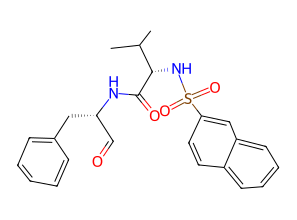 CC(C)[C@H](NS(=O)(=O)c1ccc2ccccc2c1)C(=O)N[C@H](C=O)Cc1ccccc1